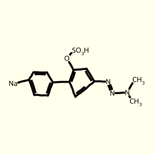 CN(C)N=Nc1ccc(-c2cc[c]([Na])cc2)c(OS(=O)(=O)O)c1